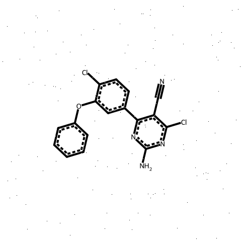 N#Cc1c(Cl)nc(N)nc1-c1ccc(Cl)c(Oc2ccccc2)c1